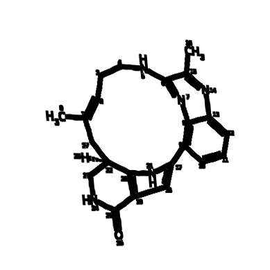 C/C1=C\CCNc2nc3c(cccc3nc2C)-c2cc3c([nH]2)[C@@H](CNC3=O)C1